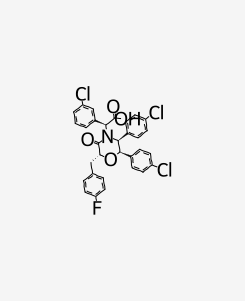 O=C(O)[C@H](c1cccc(Cl)c1)N1C(=O)[C@@H](Cc2ccc(F)cc2)O[C@H](c2ccc(Cl)cc2)[C@@H]1c1ccc(Cl)cc1